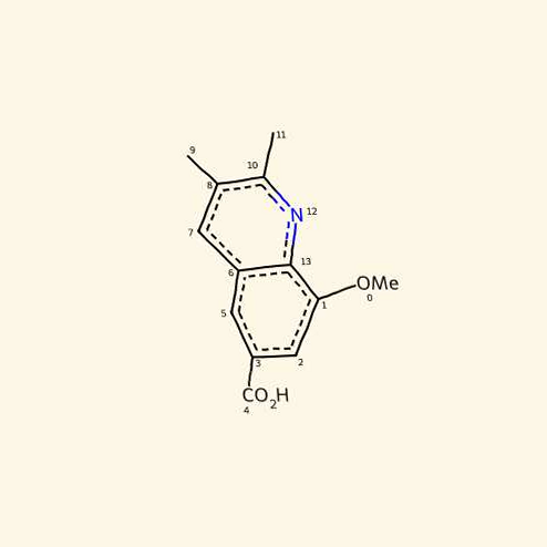 COc1cc(C(=O)O)cc2cc(C)c(C)nc12